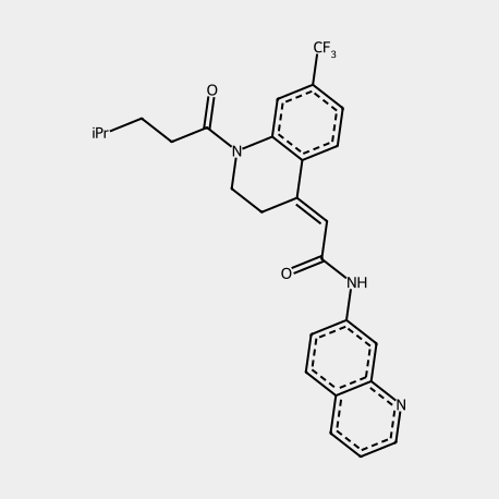 CC(C)CCC(=O)N1CCC(=CC(=O)Nc2ccc3cccnc3c2)c2ccc(C(F)(F)F)cc21